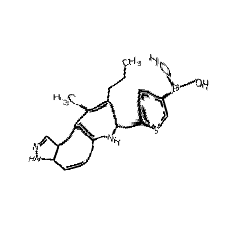 CCCC1=C(C)C2=C(C=CC3NN=CC23)NC1c1cc(B(O)O)cs1